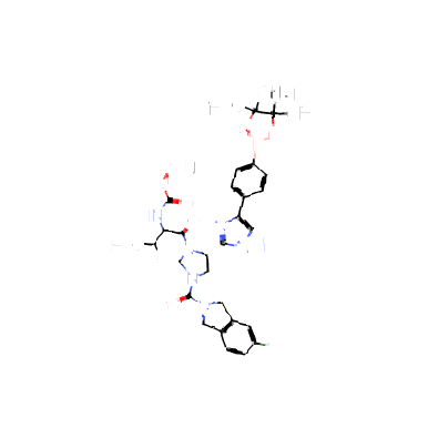 COC(=O)NC(C(=O)N1CN(C(=O)N2Cc3ccc(Cl)cc3C2)C[C@H]1c1nc(-c2ccc(B3OC(C)(C)C(C)(C)O3)cc2)c[nH]1)C(C)C